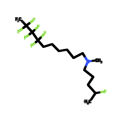 [CH2]C(F)CCCN(C)CCCCCCC(F)(F)C(F)(F)C(F)(F)C(F)(F)F